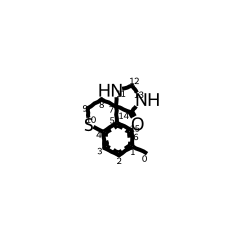 Cc1ccc2c(c1)C1(CCS2)NCNC1=O